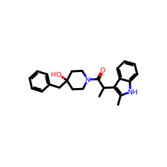 Cc1[nH]c2ccccc2c1C(C)C(=O)N1CCC(O)(Cc2ccccc2)CC1